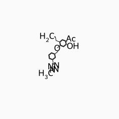 C=CCc1cc(C(C)=O)c(O)cc1OCc1cccc(-c2nnn(C)n2)c1